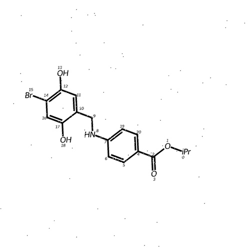 CC(C)OC(=O)c1ccc(NCc2cc(O)c(Br)cc2O)cc1